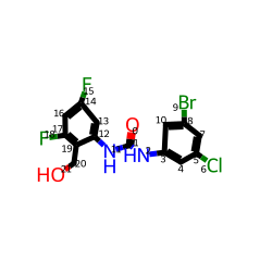 O=C(Nc1cc(Cl)cc(Br)c1)Nc1cc(F)cc(F)c1CO